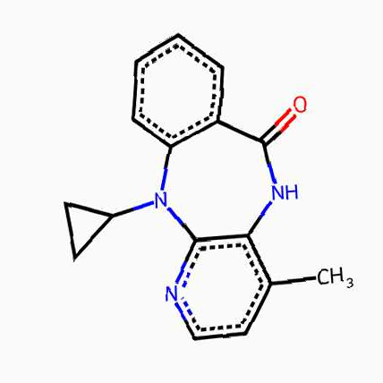 Cc1ccnc2c1NC(=O)c1ccccc1N2C1CC1